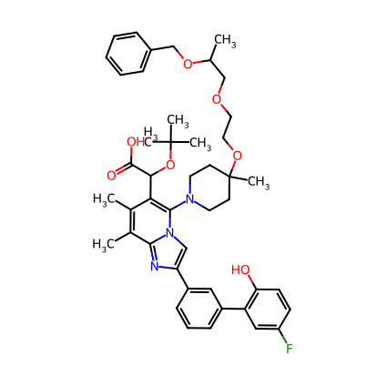 Cc1c(C(OC(C)(C)C)C(=O)O)c(N2CCC(C)(OCCOCC(C)OCc3ccccc3)CC2)n2cc(-c3cccc(-c4cc(F)ccc4O)c3)nc2c1C